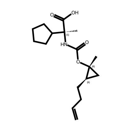 C=CCC[C@@H]1C[C@@]1(C)OC(=O)N[C@](C)(C(=O)O)C1CCCC1